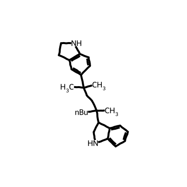 CCCCC(C)(CCC(C)(C)c1ccc2c(c1)CCN2)C1CNc2ccccc21